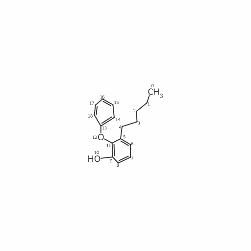 CCCCCc1cccc(O)c1Oc1ccccc1